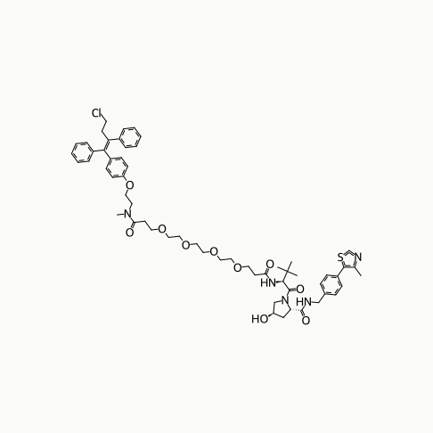 Cc1ncsc1-c1ccc(CNC(=O)[C@@H]2C[C@@H](O)CN2C(=O)[C@@H](NC(=O)CCOCCOCCOCCOCCC(=O)N(C)CCOc2ccc(/C(=C(/CCCl)c3ccccc3)c3ccccc3)cc2)C(C)(C)C)cc1